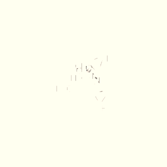 CCCCC1C(c2ccc(F)cc2)=NN(c2cccc(F)c2)C1(C)C(=O)OC